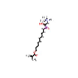 C=C(C)C(=O)OCCCCCCCCCC/[P+]([O-])=C(\O)C[N+](C)(C)C